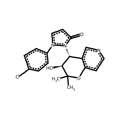 CC1(C)Oc2ccncc2[C@@H](n2c(=O)ccn2-c2ccc(Cl)cc2)[C@@H]1O